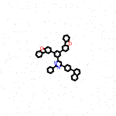 c1ccc(-c2nc(-c3ccc(-c4cccc5ccccc45)cc3)cc(-c3cc(-c4ccc5oc6ccccc6c5c4)cc(-c4ccc5oc6ccccc6c5c4)c3)n2)cc1